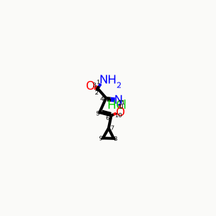 Cl.NC(=O)c1cc(C2CC2)on1